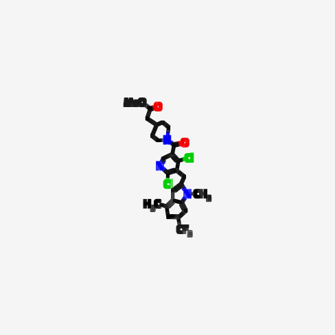 COC(=O)CC1CCN(C(=O)c2cnc(Cl)c(Cc3cc4c(C)cc(C(F)(F)F)cc4n3C)c2Cl)CC1